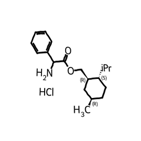 CC(C)[C@@H]1CC[C@@H](C)C[C@H]1COC(=O)C(N)c1ccccc1.Cl